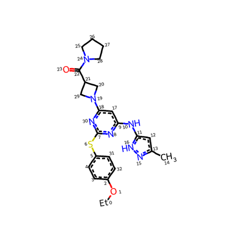 CCOc1ccc(Sc2nc(Nc3cc(C)n[nH]3)cc(N3CC(C(=O)N4CCCC4)C3)n2)cc1